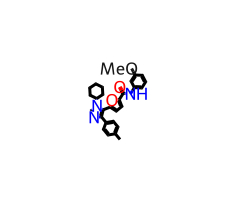 COc1cccc(NC(=O)c2ccc(-c3c(-c4ccc(C)cc4)ncn3C3CCCCC3)o2)c1